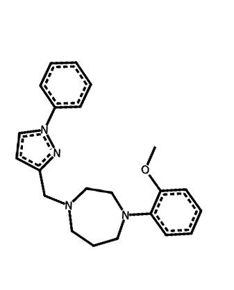 COc1ccccc1N1CCCN(Cc2ccn(-c3ccccc3)n2)CC1